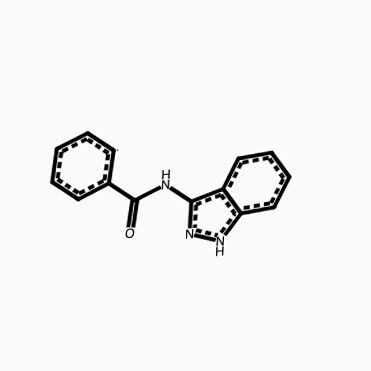 O=C(Nc1n[nH]c2ccccc12)c1[c]cccc1